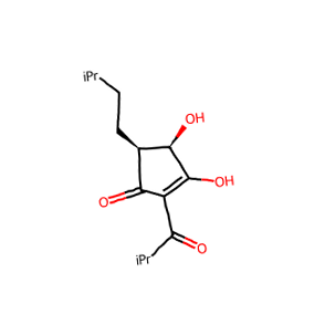 CC(C)CC[C@@H]1C(=O)C(C(=O)C(C)C)=C(O)[C@@H]1O